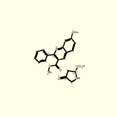 COc1ccc2cc(C(=O)OC(C)(C)C)c(-c3ccccc3)nc2c1.O=C1CN[C@H](C(=O)O)C1